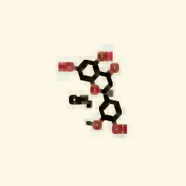 COc1cc([C@@H]2CC(=O)c3c(O)cc(O)cc3O2)ccc1O.[CaH2]